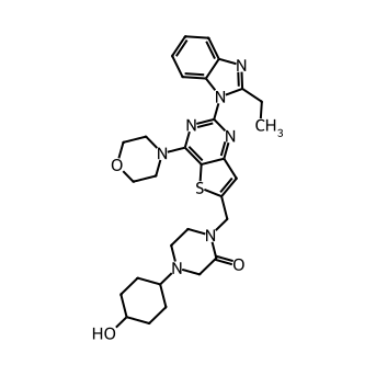 CCc1nc2ccccc2n1-c1nc(N2CCOCC2)c2sc(CN3CCN(C4CCC(O)CC4)CC3=O)cc2n1